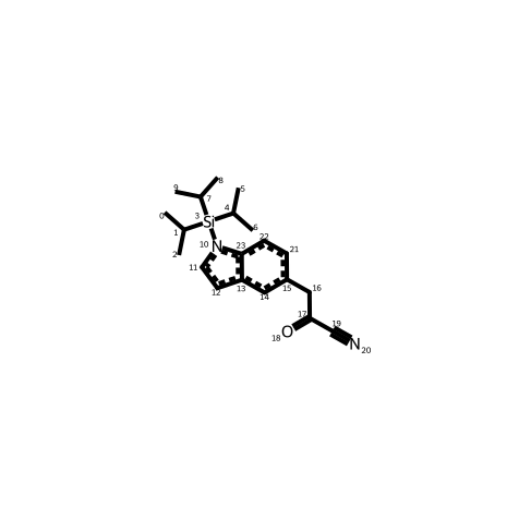 CC(C)[Si](C(C)C)(C(C)C)n1ccc2cc(CC(=O)C#N)ccc21